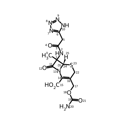 CC1(NC(=O)Cc2nnn[nH]2)C(=O)N2C(C(=O)O)=C(COC(N)=O)CS[C@H]21